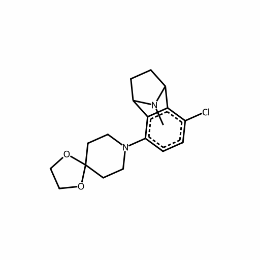 CN1C2CCC1c1c(N3CCC4(CC3)OCCO4)ccc(Cl)c12